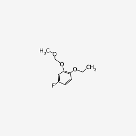 CCOc1ccc(F)cc1OCOC